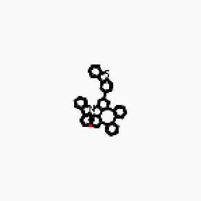 c1ccc2c(c1)-c1ccccc1-c1cc(-c3ccc4sc5ccccc5c4c3)cc(-n3c4ccccc4c4ccccc43)c1-c1ccccc1-2